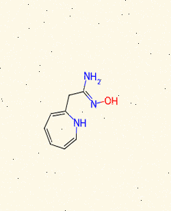 NC(CC1=CC=CC=CN1)=NO